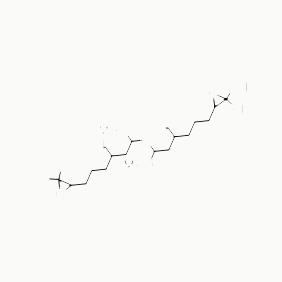 COC(CC(I)CCCC1OC1(C)C)OC(CC(I)CCCC1OC1(C)C)OC